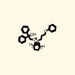 CN(CCCOc1ccccc1)C1[C@H]2CC[C@@H]1[C@H](OCC(O)(c1ccccc1)c1ccccc1)C2